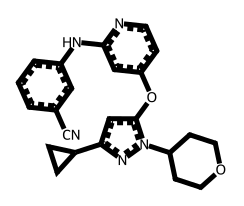 N#Cc1cccc(Nc2cc(Oc3cc(C4CC4)nn3C3CCOCC3)ccn2)c1